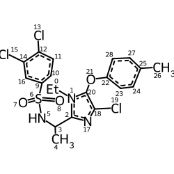 CCn1c(C(C)NS(=O)(=O)c2ccc(Cl)c(Cl)c2)nc(Cl)c1Oc1ccc(C)cc1